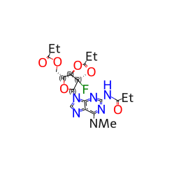 CCC(=O)Nc1nc(NC)c2ncn([C@@H]3O[C@H](COC(=O)CC)[C@@H](OC(=O)CC)[C@@]3(C)F)c2n1